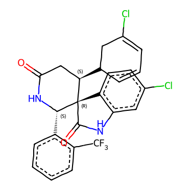 O=C1C[C@@H](C2C=CC=C(Cl)C2)[C@]2(C(=O)Nc3cc(Cl)ccc32)[C@H](c2ccccc2C(F)(F)F)N1